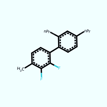 CCCc1ccc(-c2ccc(C)c(F)c2F)c(CCC)c1